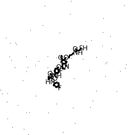 COc1cc2c(Oc3ccc(NC(=O)C4(C(=O)Nc5ccc(F)cc5)CC4)cc3F)ccnc2cc1OCCCCNC(=O)CS